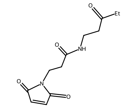 CCC(=O)CCNC(=O)CCN1C(=O)C=CC1=O